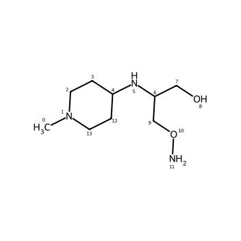 CN1CCC(NC(CO)CON)CC1